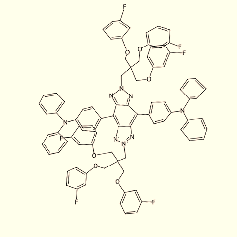 Fc1cccc(OCC(COc2cccc(F)c2)(COc2cccc(F)c2)Cn2nc3c(-c4ccc(N(c5ccccc5)c5ccccc5)cc4)c4n[n+](CC(COc5cccc(F)c5)(COc5cccc(F)c5)COc5cccc(F)c5)[n-]c4c(-c4ccc(N(c5ccccc5)c5ccccc5)cc4)c3n2)c1